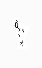 NC1CCN(CCCOCCc2ccc3sccc3c2)C1.O=C(O)C(=O)O